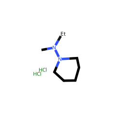 CCN(C)N1CCCCC1.Cl.Cl